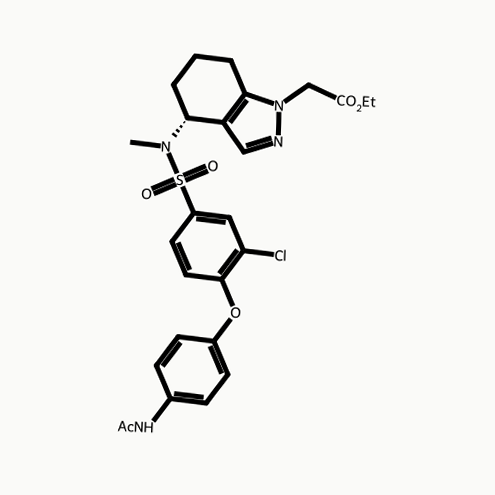 CCOC(=O)Cn1ncc2c1CCC[C@H]2N(C)S(=O)(=O)c1ccc(Oc2ccc(NC(C)=O)cc2)c(Cl)c1